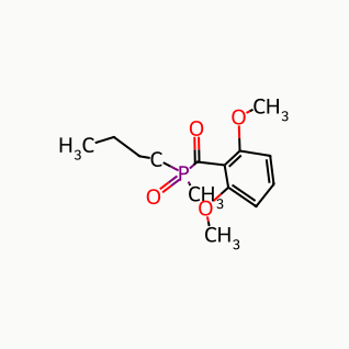 CCCCP(C)(=O)C(=O)c1c(OC)cccc1OC